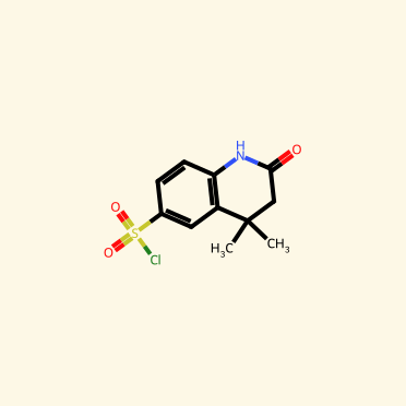 CC1(C)CC(=O)Nc2ccc(S(=O)(=O)Cl)cc21